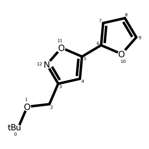 CC(C)(C)OCc1cc(-c2ccco2)on1